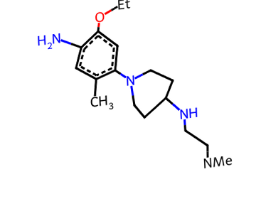 CCOc1cc(N2CCC(NCCNC)CC2)c(C)cc1N